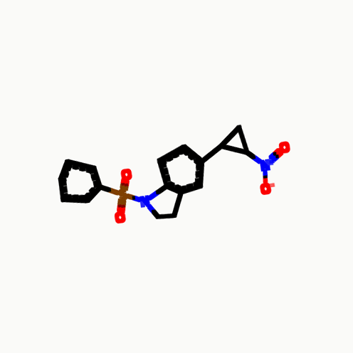 O=[N+]([O-])C1CC1c1ccc2c(c1)CCN2S(=O)(=O)c1ccccc1